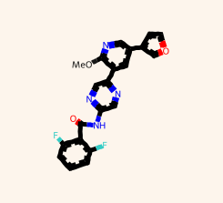 COc1ncc(-c2ccoc2)cc1-c1cnc(NC(=O)c2c(F)cccc2F)cn1